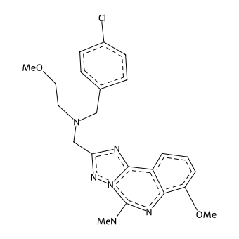 CNc1nc2c(OC)cccc2c2nc(CN(CCOC)Cc3ccc(Cl)cc3)nn12